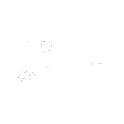 CCCCCCCCCc1ccc(C(C)CCCC(C)c2csc3nccn23)cc1